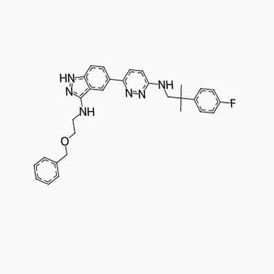 CC(C)(CNc1ccc(-c2ccc3[nH]nc(NCCOCc4ccccc4)c3c2)nn1)c1ccc(F)cc1